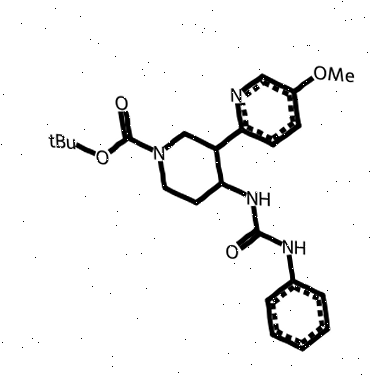 COc1ccc(C2CN(C(=O)OC(C)(C)C)CCC2NC(=O)Nc2ccccc2)nc1